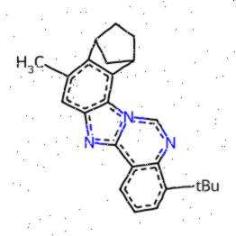 Cc1cc2nc3c4cccc(C(C)(C)C)c4ncn3c2c2c1C1CCC2C1